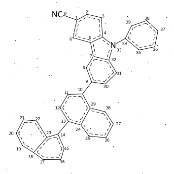 N#Cc1ccc2c(c1)c1cc(-c3ccc(-c4cccc5ccccc45)c4ccccc34)ccc1n2-c1ccccc1